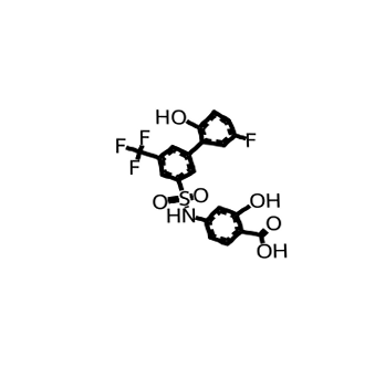 O=C(O)c1ccc(NS(=O)(=O)c2cc(-c3cc(F)ccc3O)cc(C(F)(F)F)c2)cc1O